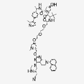 Cc1ncsc1-c1ccc(C(C)NC(=O)[C@@H]2C[C@@H](O)CN2C(=O)C(NC(=O)COCCOCCO[C@@H]2C[C@@H](COc3nc4c(c(N5CCN[C@@H](CC#N)C5)n3)CCN(c3cccc5ccccc35)C4)N(C)C2)C(C)(C)C)cc1